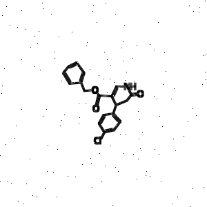 O=C1CC(c2ccc(Cl)cc2)C(C(=O)OCc2ccccc2)=CN1